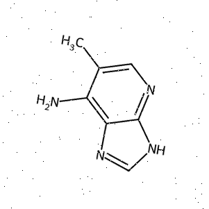 Cc1cnc2[nH]cnc2c1N